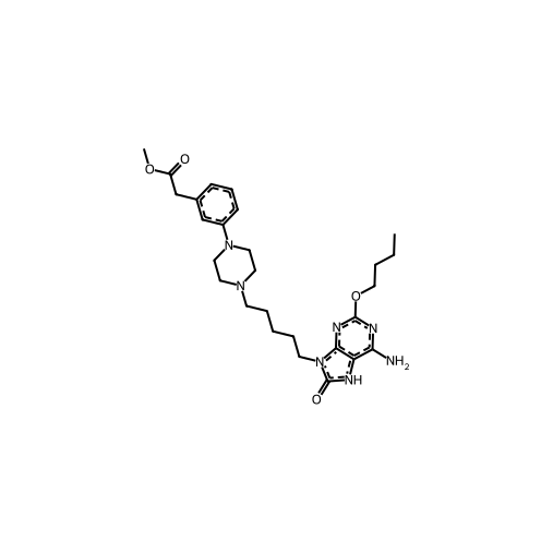 CCCCOc1nc(N)c2[nH]c(=O)n(CCCCCN3CCN(c4cccc(CC(=O)OC)c4)CC3)c2n1